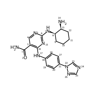 NC(=O)c1cnc(N[C@@H]2CCCC[C@@H]2N)nc1Nc1ccc(-n2cncn2)cc1